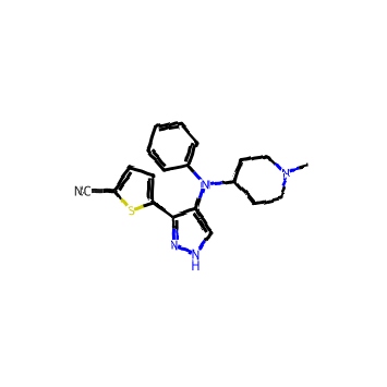 CN1CCC(N(c2ccccc2)c2c[nH]nc2-c2ccc(C#N)s2)CC1